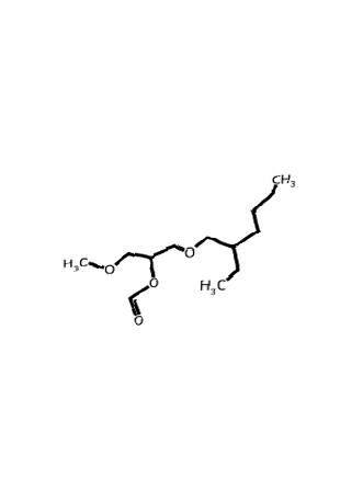 CCCCC(CC)COCC(COC)OC=O